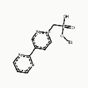 CCOP(=O)(O)C[n+]1ccc(-c2ncccn2)cn1